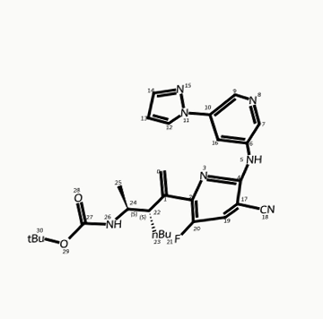 C=C(c1nc(Nc2cncc(-n3cccn3)c2)c(C#N)cc1F)[C@H](CCCC)[C@H](C)NC(=O)OC(C)(C)C